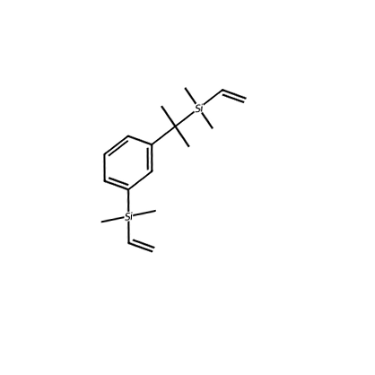 C=C[Si](C)(C)c1cccc(C(C)(C)[Si](C)(C)C=C)c1